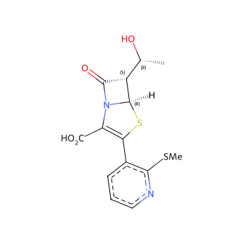 CSc1ncccc1C1=C(C(=O)O)N2C(=O)[C@H]([C@@H](C)O)[C@H]2S1